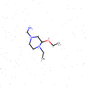 N#CCN1CCN(CN)CC1OCC(F)(F)F